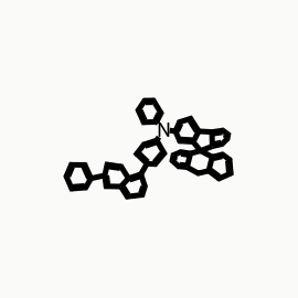 c1ccc(-c2ccc3c(-c4ccc(N(c5ccccc5)c5ccc6c(c5)C5(c7ccccc7Cc7ccccc75)c5ccccc5-6)cc4)cccc3c2)cc1